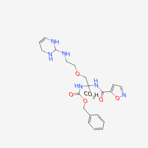 O=C(NC(COCCNC1NC=CCN1)(NC(=O)c1ccno1)C(=O)O)OCc1ccccc1